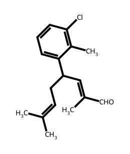 CC(C)=CCC(/C=C(\C)C=O)c1cccc(Cl)c1C